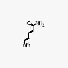 CCCC=CC=CC(N)=O